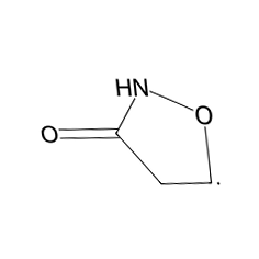 O=C1C[CH]ON1